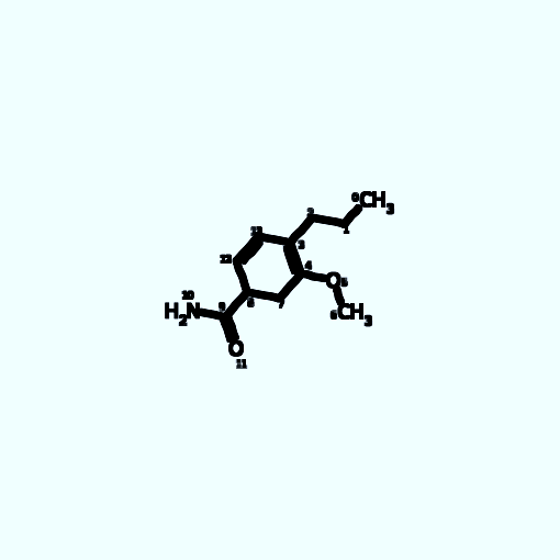 CCCC1=C(OC)CC(C(N)=O)C=C1